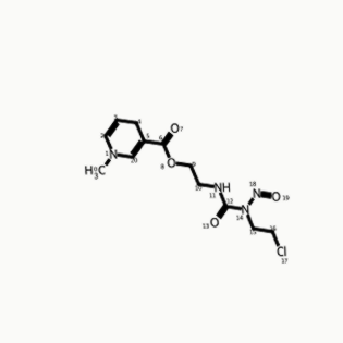 CN1C=CCC(C(=O)OCCNC(=O)N(CCCl)N=O)=C1